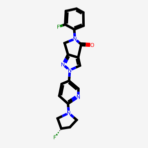 O=C1c2cn(-c3ccc(N4CC[C@H](F)C4)nc3)nc2CN1c1ccccc1F